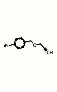 C#CCOCc1ccc(C(C)C)cc1